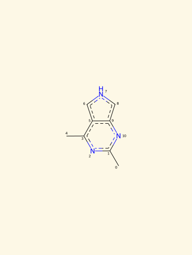 Cc1nc(C)c2c[nH]cc2n1